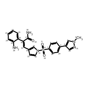 Cn1cc(-c2ccc(S(=O)(=O)n3ccc(C=C(C(N)=O)c4ccccc4N)c3)cc2)cn1